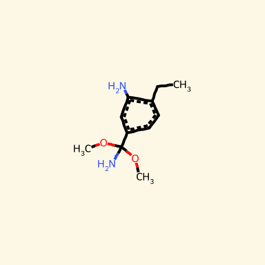 CCc1ccc(C(N)(OC)OC)cc1N